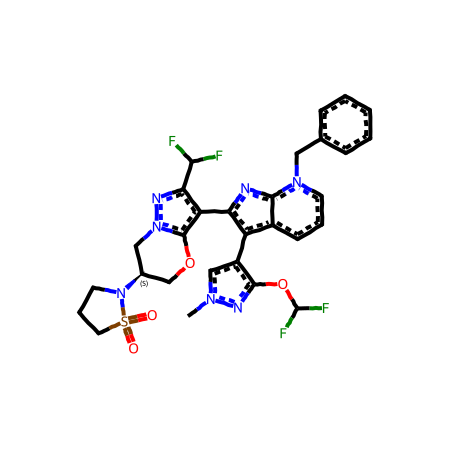 Cn1cc(-c2c3cccn(Cc4ccccc4)c-3nc2-c2c(C(F)F)nn3c2OC[C@@H](N2CCCS2(=O)=O)C3)c(OC(F)F)n1